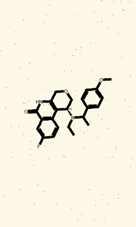 CCN(C(C)c1ccc(OC)cc1)[C@@H]1COCc2[nH]c(=O)c3cc(F)ccc3c21